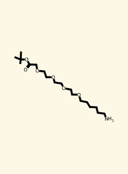 CC(C)(C)OC(=O)COCCOCCOCCOCCCCCCN